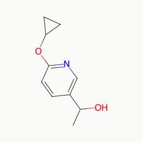 CC(O)c1ccc(OC2CC2)nc1